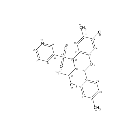 Cc1ccc(COc2cc(Cl)c(C)cc2N(CC(C)F)S(=O)(=O)c2cccnc2)cc1